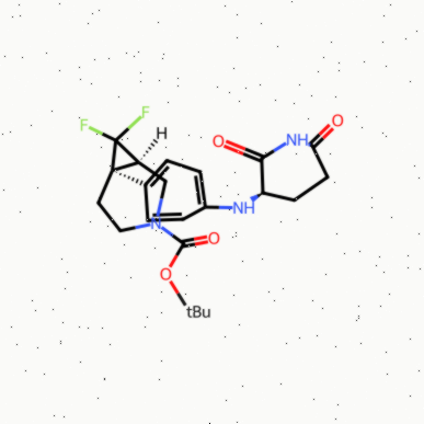 CC(C)(C)OC(=O)N1CC[C@]2(c3ccc(N[C@@H]4CCC(=O)NC4=O)cc3)[C@H](C1)C2(F)F